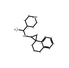 CC(NC1CC12CCCc1ccccc12)C1CCNCC1